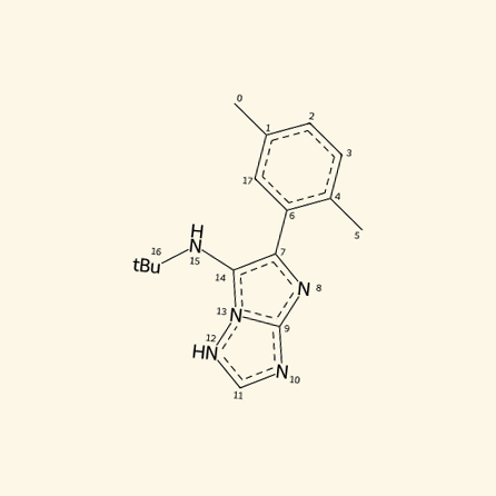 Cc1ccc(C)c(-c2nc3nc[nH]n3c2NC(C)(C)C)c1